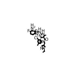 CCn1cc(CNC(=O)C2=C(C)NC(Nc3nc4ccc(F)c(N)c4o3)=N[C@H]2c2ccc(C)cc2Cl)cn1